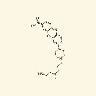 CC[N+](CC)=c1ccc2nc3ccc(N4CCN(CCCN(C)CCS)CC4)cc3oc-2c1